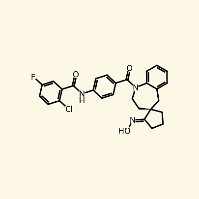 O=C(Nc1ccc(C(=O)N2CC[C@]3(CCCC3=NO)Cc3ccccc32)cc1)c1cc(F)ccc1Cl